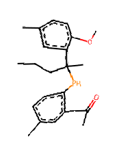 CCCC(C)(Pc1ccc(C)cc1C(C)=O)c1cc(C)ccc1OC